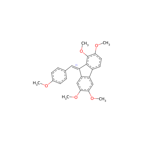 COc1ccc(/C=C2\c3cc(OC)c(OC)cc3-c3ccc(OC)c(OC)c32)cc1